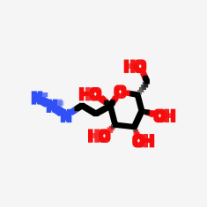 [N-]=[N+]=NCC[C@]1(O)O[C@H](CO)[C@@H](O)[C@H](O)[C@@H]1O